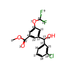 COC(=O)c1cc(OC(F)F)cc(C(O)c2cccc(Cl)c2)c1